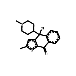 Cc1cc2c(s1)C(=O)c1ccccc1C2(O)C1CCN(C)CC1